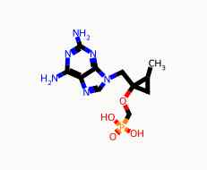 CC1CC1(Cn1cnc2c(N)nc(N)nc21)OCP(=O)(O)O